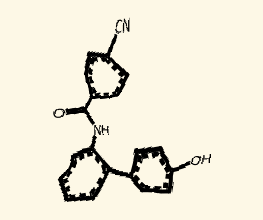 N#Cc1ccc(C(=O)Nc2ccccc2-c2ccc(O)cc2)cc1